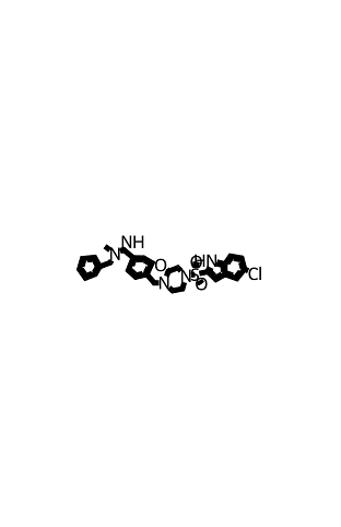 CN(Cc1ccccc1)C(=N)c1ccc(CN2CCN(S(=O)(=O)c3cc4cc(Cl)ccc4[nH]3)CC2=O)cc1